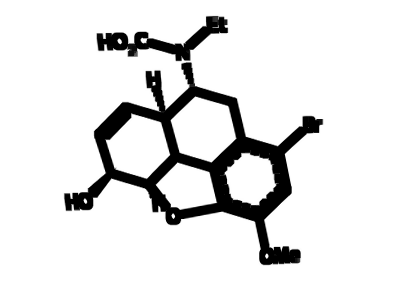 CCN(C(=O)O)[C@@H]1Cc2c(Br)cc(OC)c3c2C2[C@H]1C=C[C@H](O)[C@@H]2O3